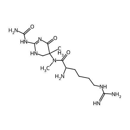 CN(C(=O)C(N)CCCCNC(=N)N)C1(C)CNC(NC(N)=O)=NC1=O